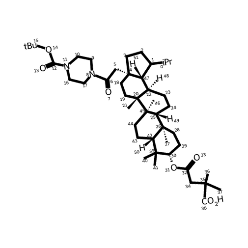 CC(C)C1CC[C@]2(CC(=O)N3CCN(C(=O)OC(C)(C)C)CC3)CC[C@]3(C)[C@H](CC[C@@H]4[C@@]5(C)CC[C@H](OC(=O)CC(C)(C)C(=O)O)C(C)(C)[C@@H]5CC[C@]43C)[C@@H]12